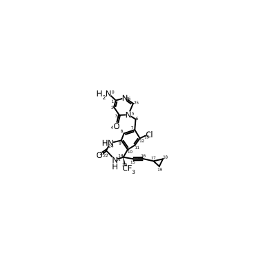 Nc1cc(=O)n(Cc2cc3c(cc2Cl)[C@@](C#CC2CC2)(C(F)(F)F)NC(=O)N3)cn1